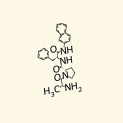 C[C@H](N)C(=O)N1CCC[C@H]1C(=O)N[C@@H](Cc1ccccc1)C(=O)Nc1ccc2ccccc2c1